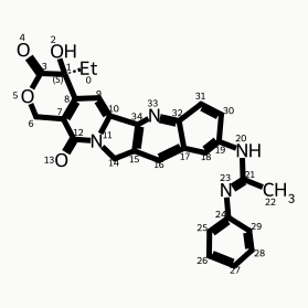 CC[C@@]1(O)C(=O)OCc2c1cc1n(c2=O)Cc2cc3cc(NC(C)=Nc4ccccc4)ccc3nc2-1